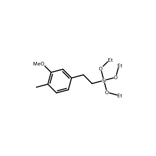 CCO[Si](CCc1ccc(C)c(OC)c1)(OCC)OCC